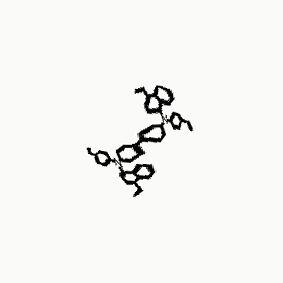 C=Cc1ccc(N(c2ccc(-c3ccc(N(c4ccc(C=C)cc4)c4ccc(C=C)c5ccccc45)cc3)cc2)c2ccc(C=C)c3ccccc23)cc1